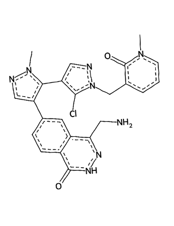 Cn1ncc(-c2ccc3c(=O)[nH]nc(CN)c3c2)c1-c1cnn(Cc2cccn(C)c2=O)c1Cl